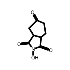 O=C1CCC2C(=O)N(O)C(=O)C2C1